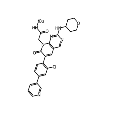 CC(C)(C)NC(=O)Cn1c(=O)c(-c2ccc(-c3cccnc3)cc2Cl)cc2cnc(NC3CCOCC3)nc21